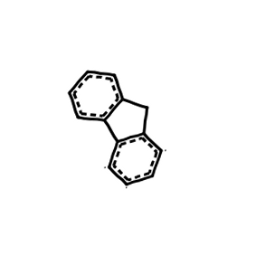 [c]1[c]c2c([c]c1)Cc1ccccc1-2